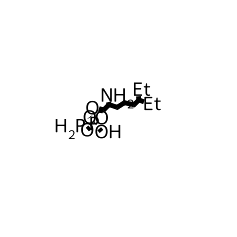 CCC(CC)CCCC(N)C(=O)OP(=O)(O)OP